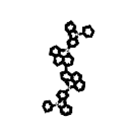 c1ccc(-n2c3ccccc3c3cc(-n4c5cccc6ccc7c(-c8ccc9c%10c8ccc8cccc(c8%10)n9-c8ccc9c(c8)c8ccccc8n9-c8ccccc8)ccc4c7c65)ccc32)cc1